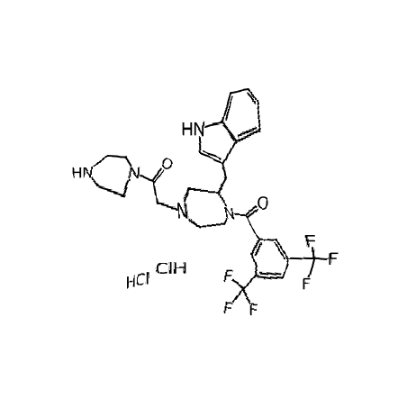 Cl.Cl.O=C(CN1CCN(C(=O)c2cc(C(F)(F)F)cc(C(F)(F)F)c2)C(Cc2c[nH]c3ccccc23)C1)N1CCNCC1